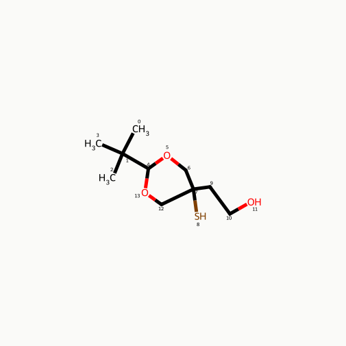 CC(C)(C)C1OCC(S)(CCO)CO1